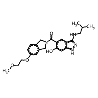 COCCOc1ccc2c(c1)CN(C(=O)c1cc3c(NCC(C)C)n[nH]c3cc1O)C2